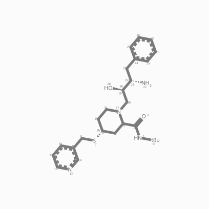 CC(C)(C)NC(=O)C1C[C@H](SCc2cccnc2)CCN1C[C@@H](O)[C@@H](N)Cc1ccccc1